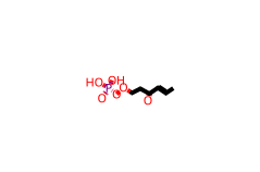 CC=CC(=O)CCOOP(=O)(O)O